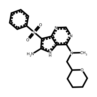 CN(CC1CCCCO1)c1ncnc2c(S(=O)(=O)c3ccccc3)c(N)[nH]c12